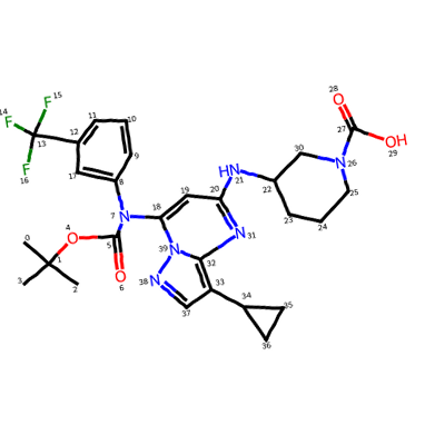 CC(C)(C)OC(=O)N(c1cccc(C(F)(F)F)c1)c1cc(NC2CCCN(C(=O)O)C2)nc2c(C3CC3)cnn12